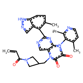 C=CC(=O)N1CC(Cn2c(=O)c(=O)n(-c3c(C)ccnc3C(C)C)c3nc(-c4c(C)ccc5[nH]ncc45)ncc32)C1